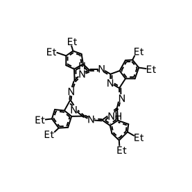 CCc1cc2c(cc1CC)-c1nc-2nc2[nH]c(nc3nc(nc4[nH]c(n1)c1cc(CC)c(CC)cc41)-c1cc(CC)c(CC)cc1-3)c1cc(CC)c(CC)cc21